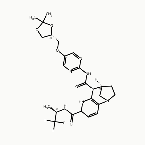 C[C@@H](NC(=O)C1C=CC2=C(N1)N(C(=O)Nc1ncc(OC[C@@H]3COC(C)(C)O3)cn1)[C@H]1CCN2C1)C(F)(F)F